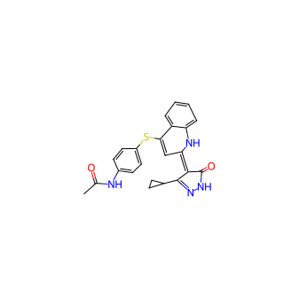 CC(=O)Nc1ccc(SC2=CC(=C3C(=O)NN=C3C3CC3)Nc3ccccc32)cc1